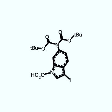 CC(C)(C)OC(=O)N(C(=O)OC(C)(C)C)c1ccc2c(I)cn(C(=O)O)c2c1